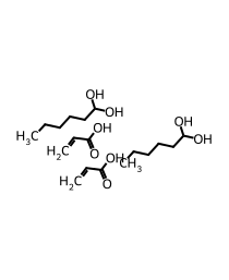 C=CC(=O)O.C=CC(=O)O.CCCCCC(O)O.CCCCCC(O)O